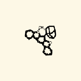 Cn1c2ccccc2c2cc3c(oc4ccccc43)c(C34CC5CC(CC(C5)C3)C4)c21